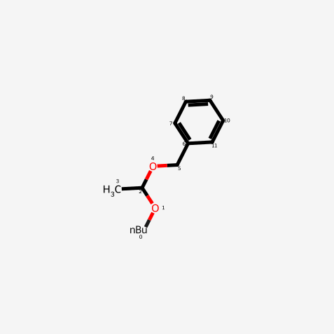 CCCCOC(C)OCc1ccccc1